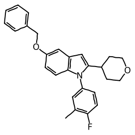 Cc1cc(-n2c(C3CCOCC3)cc3cc(OCc4ccccc4)ccc32)ccc1F